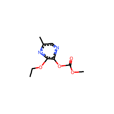 CCOc1nc(C)cnc1OC(=O)OC